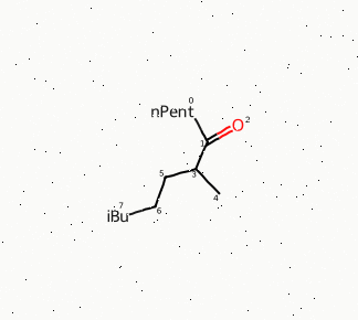 CCCCCC(=O)C(C)CCC(C)CC